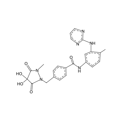 Cc1ccc(NC(=O)c2ccc(CN3C(=O)C(O)(O)C(=O)N3C)cc2)cc1Nc1ncccn1